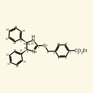 CCOC(=O)c1ccc(CSC2=N[C@@H](c3ccccc3)[C@@H](c3ccccc3)N2)cc1